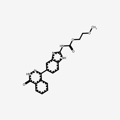 COCCOC(=O)Nc1nc2cc(-c3n[nH]c(=O)c4ccccc34)ccc2[nH]1